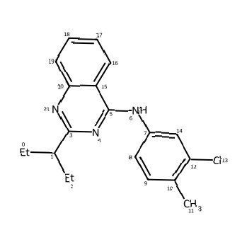 CCC(CC)c1nc(Nc2ccc(C)c(Cl)c2)c2ccccc2n1